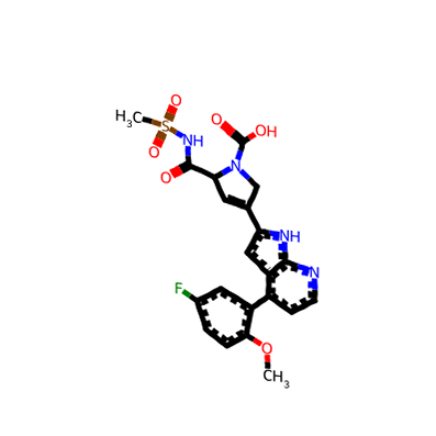 COc1ccc(F)cc1-c1ccnc2[nH]c(C3=CC(C(=O)NS(C)(=O)=O)N(C(=O)O)C3)cc12